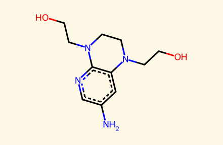 Nc1cnc2c(c1)N(CCO)CCN2CCO